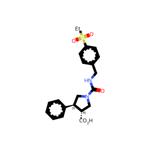 CCS(=O)(=O)c1ccc(CNC(=O)N2C[C@H](C(=O)O)[C@@H](c3ccccc3)C2)cc1